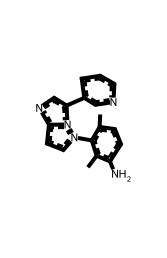 Cc1ccc(N)c(C)c1-n1ccc2ncc(-c3cccnc3)n21